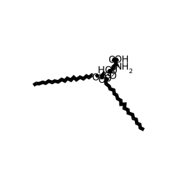 CCCCCCCCCCCCCCCCCCCCOC[C@H](COP(=O)(O)OC[C@H](N)C(=O)O)OC(=O)CCCCCCCCCCCCCCCCCCCC